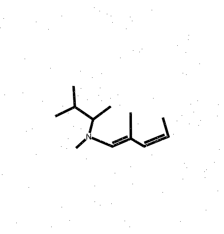 C/C=C\C(C)=C\N(C)C(C)C(C)C